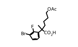 CC(=O)OCCCCC(C)(C(=O)O)c1cccc(Br)c1F